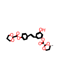 C[C@@H]1CCO[C@H](C(=O)Oc2cc(O)cc(/C=C/c3ccc(OC(=O)C4OCCCO4)cc3)c2)O1